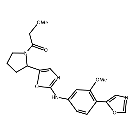 COCC(=O)N1CCCC1c1cnc(Nc2ccc(-c3cnco3)c(OC)c2)o1